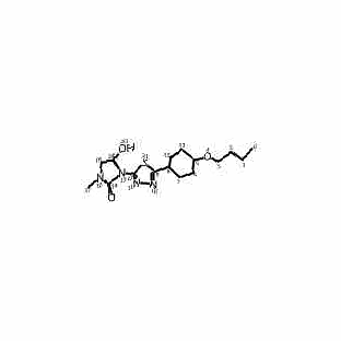 CCCCOC1CCC(c2nnc(N3C(=O)N(C)CC3O)s2)CC1